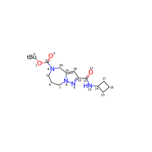 CC(C)(C)OC(=O)N1CCCn2nc(C(=O)NC3CCC3)cc2C1